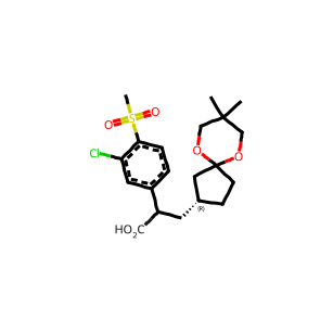 CC1(C)COC2(CC[C@H](CC(C(=O)O)c3ccc(S(C)(=O)=O)c(Cl)c3)C2)OC1